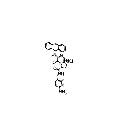 Cc1nc(N)ccc1CNC(=O)[C@@H]1CCc2cnc(N(C)C3c4ccccc4Sc4ccccc43)c(=O)n21.Cl.Cl